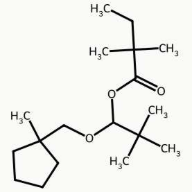 CCC(C)(C)C(=O)OC(OCC1(C)CCCC1)C(C)(C)C